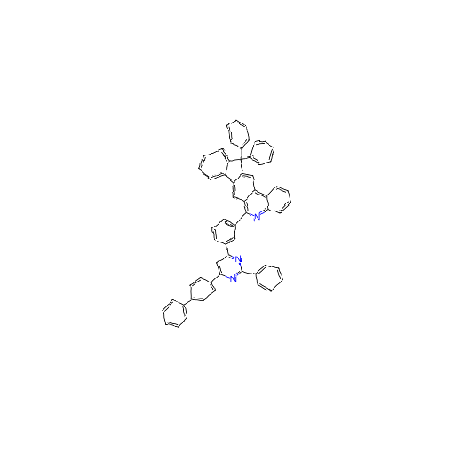 c1ccc(-c2ccc(-c3cc(-c4cccc(-c5nc6ccccc6c6cc7c(cc56)-c5ccccc5C7(c5ccccc5)c5ccccc5)c4)nc(-c4ccccc4)n3)cc2)cc1